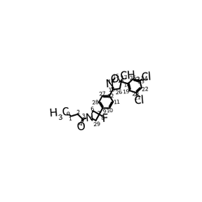 CCCC(=O)N1CC(F)(c2ccc(C3=NOC(C)(c4cc(Cl)cc(Cl)c4)C3)cc2)C1